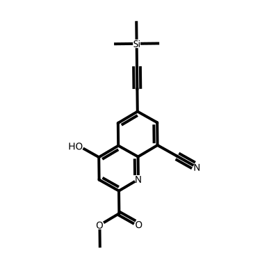 COC(=O)c1cc(O)c2cc(C#C[Si](C)(C)C)cc(C#N)c2n1